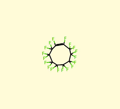 FC1=C(F)C(F)(F)C(F)(F)C(F)(F)C(F)(F)C(F)(F)C(F)(F)C(F)(F)C1(F)F